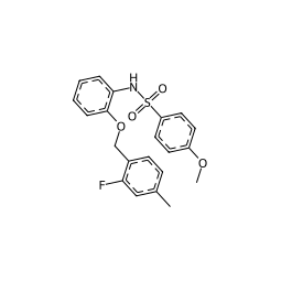 COc1ccc(S(=O)(=O)Nc2ccccc2OCc2ccc(C)cc2F)cc1